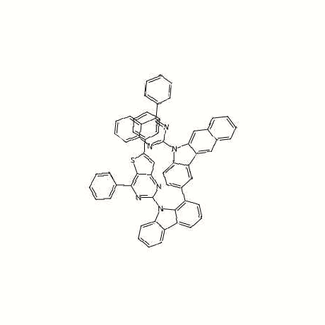 c1ccc(-c2cc3nc(-n4c5ccccc5c5cccc(-c6ccc7c(c6)c6cc8ccccc8cc6n7-c6nc(-c7ccccc7)c7ccccc7n6)c54)nc(-c4ccccc4)c3s2)cc1